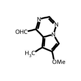 COc1cn2ncnc(C=O)c2c1C